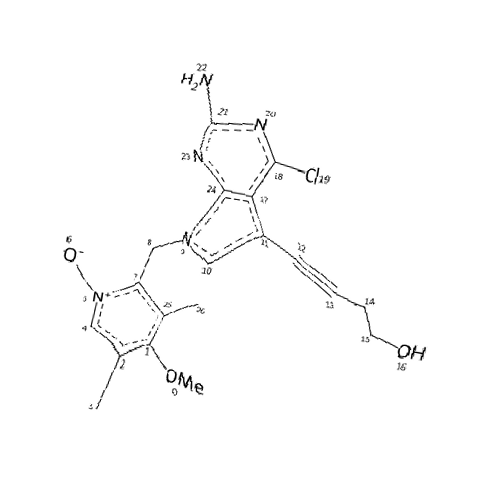 COc1c(C)c[n+]([O-])c(Cn2cc(C#CCCO)c3c(Cl)nc(N)nc32)c1C